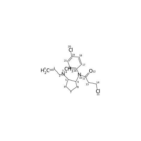 C=CCN(C)C1CCCC1N(C(=O)CCCl)c1ccc(Cl)cc1